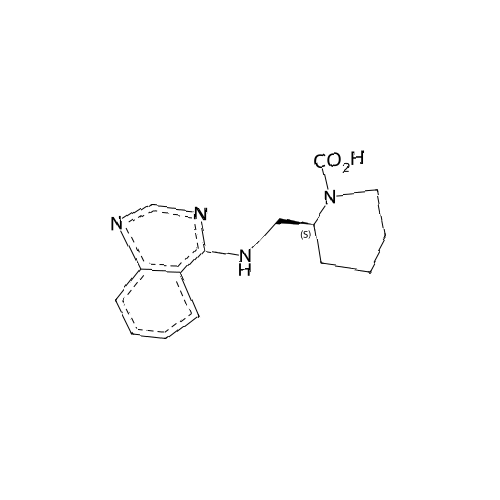 O=C(O)N1CCCC[C@H]1CNc1ncnc2ccccc12